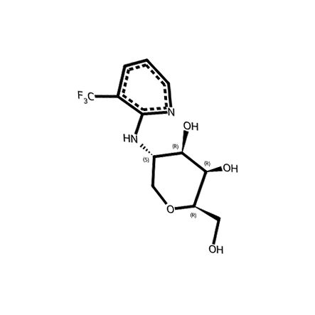 OC[C@H]1OC[C@H](Nc2ncccc2C(F)(F)F)[C@@H](O)[C@H]1O